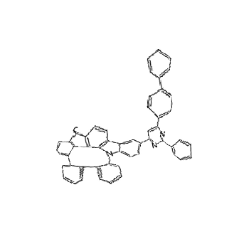 c1ccc(-c2ccc(-c3cc(-c4ccc5c(c4)c4ccc6sc7cccc8c9ccccc9c9ccccc9n5c4c6c78)nc(-c4ccccc4)n3)cc2)cc1